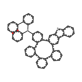 c1ccc(-c2ccccc2N(c2ccccc2)c2ccc3c(c2)c2ccccc2c2ccccc2c2ccccc2c2cc4c(cc32)sc2ccccc24)cc1